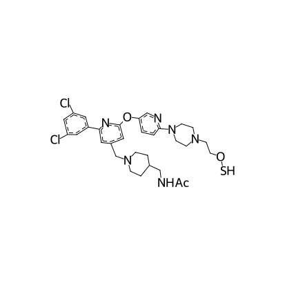 CC(=O)NCC1CCN(Cc2cc(Oc3ccc(N4CCN(CCOS)CC4)nc3)nc(-c3cc(Cl)cc(Cl)c3)c2)CC1